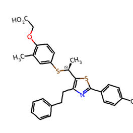 Cc1cc(S[C@@H](C)c2sc(-c3ccc(C(F)(F)F)cc3)nc2CCc2ccccc2)ccc1OCC(=O)O